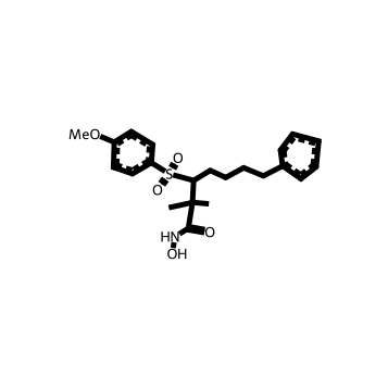 COc1ccc(S(=O)(=O)C(CCCCc2ccccc2)C(C)(C)C(=O)NO)cc1